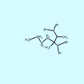 CC(C)N(C(C)C)C(C)C(C)([SiH2][SiH2][SiH2][SiH3])N(C(C)C)C(C)C